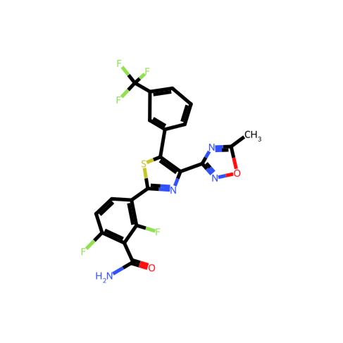 Cc1nc(-c2nc(-c3ccc(F)c(C(N)=O)c3F)sc2-c2cccc(C(F)(F)F)c2)no1